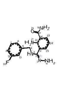 N/N=C(/NCc1cccc(F)c1)c1cccc(C(N)=O)c1N